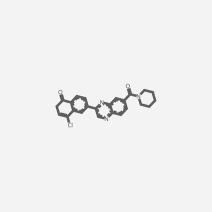 O=C1CC=C(Cl)c2cc(-c3cnc4ccc(C(=O)N5CCCCC5)cc4n3)ccc21